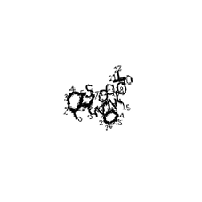 Cc1cccc2scc(Cn3c(=O)n(C(C)C(=O)OC(C)(C)C)c4ccccc43)c12